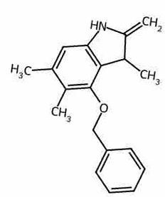 C=C1Nc2cc(C)c(C)c(OCc3ccccc3)c2C1C